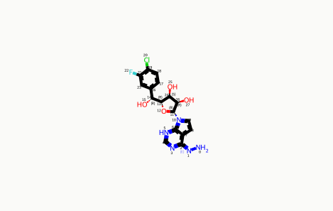 N/N=c1/nc[nH]c2c1ccn2[C@@H]1O[C@H]([C@H](O)c2ccc(Cl)c(F)c2)[C@@H](O)[C@H]1O